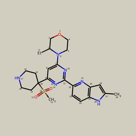 CCC1COCCN1c1cc(C2(S(C)(=O)=O)CCNCC2)nc(-c2ccc3[nH]c(C)cc3n2)n1